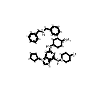 CCC1CCN(Nc2nc(NC3CCC(N)CC3)nc3c2ncn3C2CCCC2)CC1.c1ccc(CNCc2ccccc2)cc1